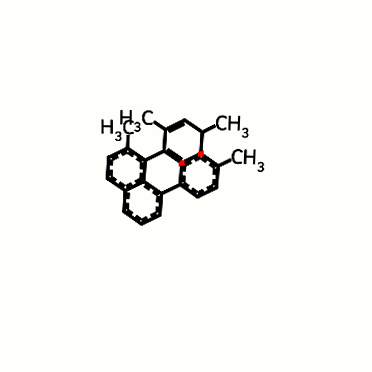 CC1=CC(C)CC=C1c1c(C)ccc2cccc(-c3ccc(C)cc3)c12